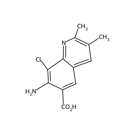 Cc1cc2cc(C(=O)O)c(N)c(Cl)c2nc1C